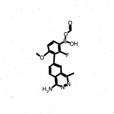 COc1ccc(B(O)OC=O)c(F)c1-c1ccc2c(N)nnc(C)c2c1